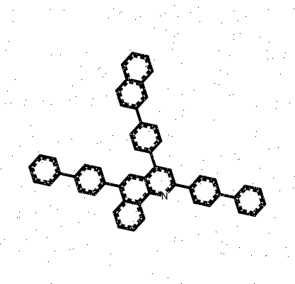 c1ccc(-c2ccc(-c3cc(-c4ccc(-c5ccc6ccccc6c5)cc4)c4cc(-c5ccc(-c6ccccc6)cc5)c5ccccc5c4n3)cc2)cc1